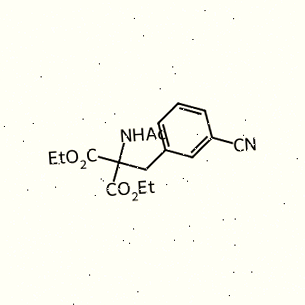 CCOC(=O)C(Cc1cccc(C#N)c1)(NC(C)=O)C(=O)OCC